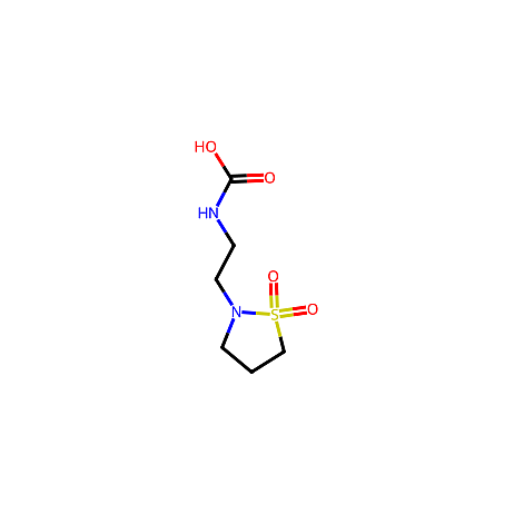 O=C(O)NCCN1CCCS1(=O)=O